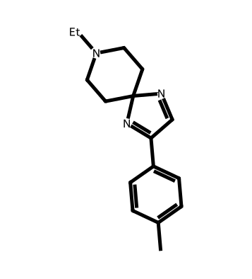 CCN1CCC2(CC1)N=CC(c1ccc(C)cc1)=N2